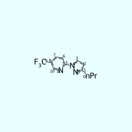 CCCc1[c]cn(-c2ccc(C(F)(F)F)cn2)n1